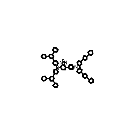 c1ccc(-c2ccc(-c3ccc4c(c3)c3cc(-c5ccc(-c6ccccc6)cc5)ccc3n4-c3ccc(-c4ccc(N(c5ccc(-c6cc(-c7ccccc7)cc(-c7ccccc7)c6)cc5)c5ccc(-c6cc(-c7ccccc7)cc(-c7ccccc7)c6)cc5)c5nsnc45)cc3)cc2)cc1